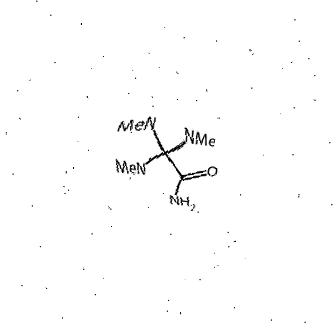 CNC(NC)(NC)C(N)=O